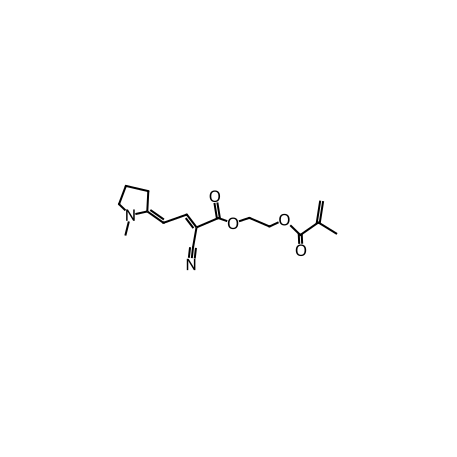 C=C(C)C(=O)OCCOC(=O)/C(C#N)=C/C=C1\CCCN1C